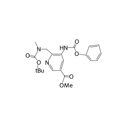 COC(=O)c1cnc(CN(C)C(=O)OC(C)(C)C)c(NC(=O)Oc2ccccc2)c1